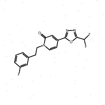 O=c1cc(-c2nnc(C(F)F)o2)ccn1CCc1cccc(F)c1